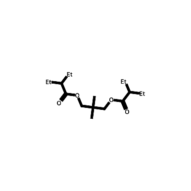 CCC(CC)C(=O)OCC(C)(C)COC(=O)C(CC)CC